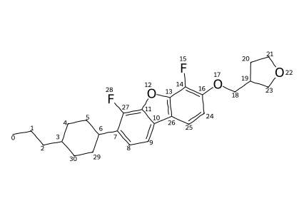 CCCC1CCC(c2ccc3c(oc4c(F)c(OCC5CCOC5)ccc43)c2F)CC1